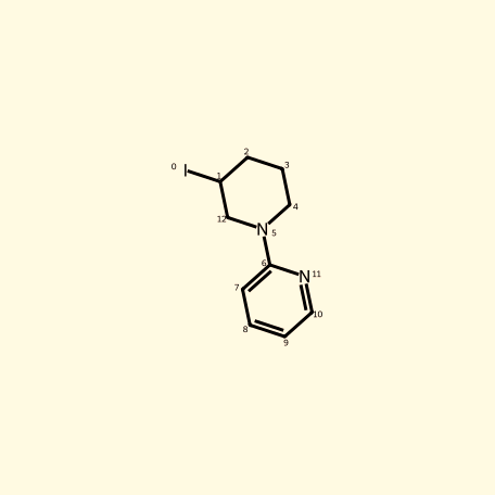 IC1CCCN(c2ccccn2)C1